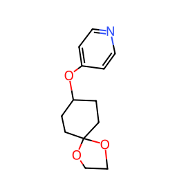 c1cc(OC2CCC3(CC2)OCCO3)ccn1